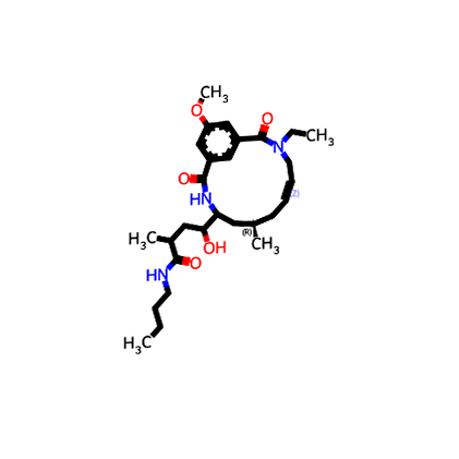 CCCCNC(=O)C(C)CC(O)C1C[C@H](C)C/C=C\CN(CC)C(=O)c2cc(OC)cc(c2)C(=O)N1